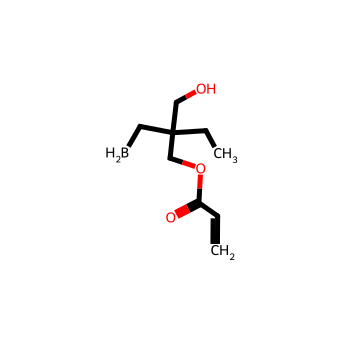 BCC(CC)(CO)COC(=O)C=C